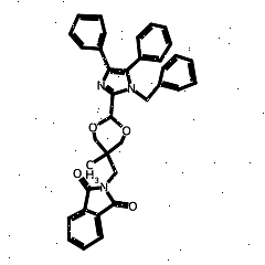 CC1(CN2C(=O)c3ccccc3C2=O)COC(c2nc(-c3ccccc3)c(-c3ccccc3)n2Cc2ccccc2)OC1